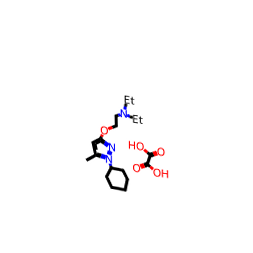 CCN(CC)CCOc1cc(C)n(C2CCCCC2)n1.O=C(O)C(=O)O